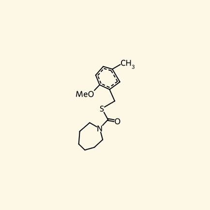 COc1ccc(C)cc1CSC(=O)N1CCCCCC1